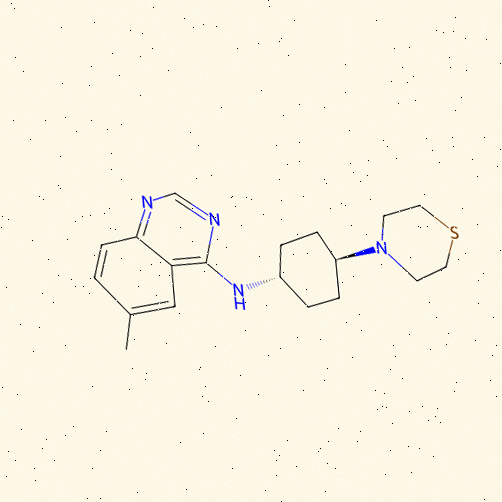 Cc1ccc2ncnc(N[C@H]3CC[C@H](N4CCSCC4)CC3)c2c1